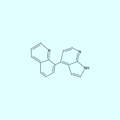 c1cnc2c(-c3ccnc4[nH]ccc34)cccc2c1